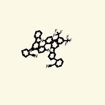 N#Cc1ccc(-n2c3ccccc3c3cc(-c4ccccc4C#N)ccc32)c(-c2cc(-c3ccc(C(F)(F)F)cc3C(F)(F)F)ccc2-n2c3ccccc3c3cc(-c4ccccc4C#N)ccc32)c1